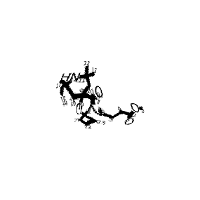 COC(=O)CCN1C(=O)C2(CC(C)(C)NC(C)(C)C2)OC12CCC2